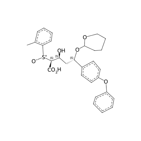 Cc1ccccc1[S+]([O-])[C@H](C(=O)O)[C@@H](O)C[C@H](OC1CCCCO1)c1ccc(Oc2ccccc2)cc1